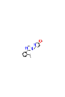 COc1ccc(CN2CCN(C)C(c3ccccc3C(C)C)C2)nc1